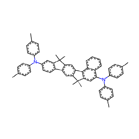 Cc1ccc(N(c2ccc(C)cc2)c2ccc3c(c2)C(C)(C)c2cc4c(cc2-3)C(C)(C)c2cc(N(c3ccc(C)cc3)c3ccc(C)cc3)c3ccccc3c2-4)cc1